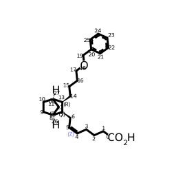 O=C(O)CCC/C=C\C[C@H]1[C@H]2CC[C@H](C2)[C@H]1CCCCOCc1ccccc1